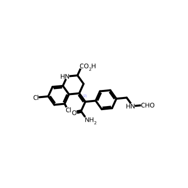 NC(=O)/C(=C1/CC(C(=O)O)Nc2cc(Cl)cc(Cl)c21)c1ccc(CNC=O)cc1